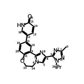 Cc1nc(-c2cn3c(n2)-c2cc(-c4ccc(=O)[nH]c4)ccc2OCC3)n(C(C)C)n1